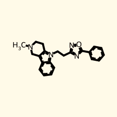 CN1CCc2c(c3ccccc3n2CCc2noc(-c3ccccc3)n2)C1